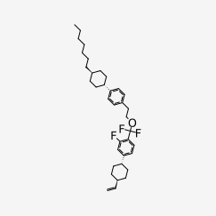 C=C[C@H]1CC[C@H](c2ccc(C(F)(F)OCCc3ccc([C@H]4CC[C@H](CCCCCCC)CC4)cc3)c(F)c2)CC1